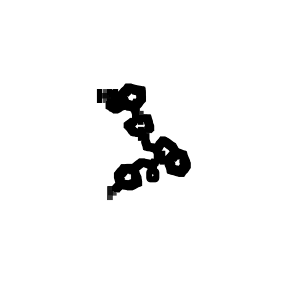 O=C(Cc1ccc(F)cc1)N1c2ccccc2CCC1CN1CCN(c2cccc3[nH]ccc23)CC1